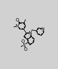 Cc1cc(-c2cc3c(S(C)(=O)=O)cccc3n2Cc2cccnc2)cn(C)c1=O